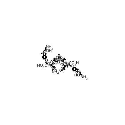 C[n+]1c2ccc(OC[C@H](O/N=C(\C(=O)N[C@@H]3C(=O)N(OS(=O)(=O)ON4C(=O)[C@@H](NC(=O)/C(=N\O[C@@H](COc5ccc6c(c5)cn(C[C@H](O)CN)[n+]6C)C(=O)O)c5csc(N)n5)C4(C)C)C3(C)C)c3csc(N)n3)C(=O)O)cc2cn1C[C@H](O)CN